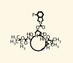 CN(C)C(=O)[C@@]12C[C@H]1/C=C\CCCCC[C@H](NC(=O)OC(C)(C)C)C(=O)N1C[C@H](OC(=O)N3Cc4cccc(F)c4C3)C[C@H]1C(=O)N2